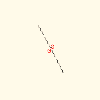 CCCCCCCCCCCCCCCC(=O)C(=O)CCCCCCCCCCCCCC